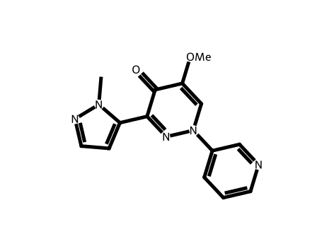 COc1cn(-c2cccnc2)nc(-c2ccnn2C)c1=O